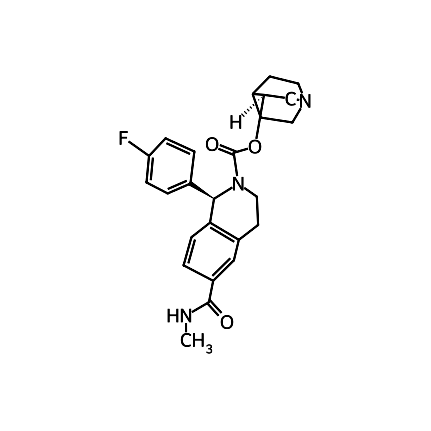 CNC(=O)c1ccc2c(c1)CCN(C(=O)O[C@@H]1CN3CCC1CC3)[C@@H]2c1ccc(F)cc1